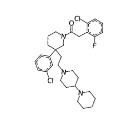 O=C(Cc1c(F)cccc1Cl)N1CCCC(CCN2CCC(N3CCCCC3)CC2)(c2cccc(Cl)c2)C1